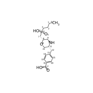 CCCCP(=O)(O)C[C@@H]1CN[C@H](Cc2ccc(C(=O)O)cc2)CO1